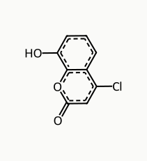 O=c1cc(Cl)c2cccc(O)c2o1